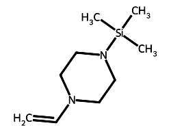 C=CN1CCN([Si](C)(C)C)CC1